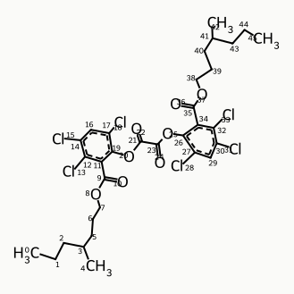 CCCC(C)CCCOC(=O)c1c(Cl)c(Cl)cc(Cl)c1OC(=O)C(=O)Oc1c(Cl)cc(Cl)c(Cl)c1C(=O)OCCCC(C)CCC